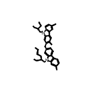 CCCCC(CC)Cn1c2cc(C)ccc2c2ccc(Cc3cc4c(cc3C)c3cc(C)ccc3n4CC(CC)CC)cc21